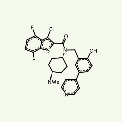 CN[C@H]1CC[C@H](N(Cc2cc(-c3ccncc3)ccc2O)C(=O)c2sc3c(F)ccc(F)c3c2Cl)CC1